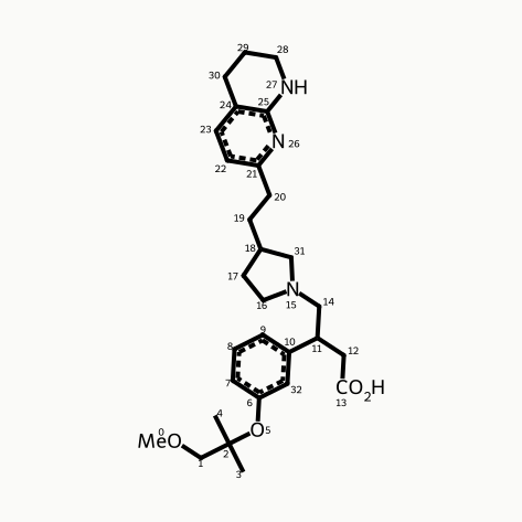 COCC(C)(C)Oc1cccc(C(CC(=O)O)CN2CCC(CCc3ccc4c(n3)NCCC4)C2)c1